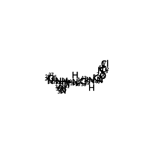 Clc1ccc(Oc2ccc(NCc3ccc(CNCCN(CCNCc4ccccn4)Cc4ccccn4)cc3)cn2)nc1